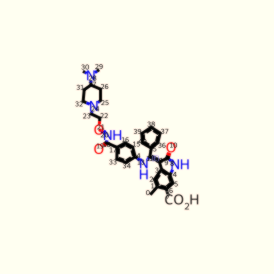 Cc1cc2c(cc1C(=O)O)NC(=O)/C2=C(/Nc1ccc(C(=O)NOCCN2CCC(N(C)C)CC2)cc1)c1ccccc1